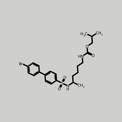 CC(C)COC(=O)NCCCCC(C)NS(=O)(=O)c1ccc(-c2ccc(Br)cc2)cc1